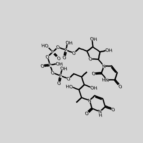 CC(COP(=O)(O)OP(=O)(O)OP(=O)(O)OP(=O)(O)OCC1OC(n2ccc(=O)[nH]c2=O)C(O)C1O)C(O)C(O)C(C)n1ccc(=O)[nH]c1=O